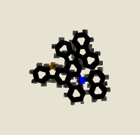 c1ccc(N(c2ccc3c(c2)C2(c4ccccc4-c4ccccc42)c2ccccc2-3)c2cccc3ccccc23)c(-c2ccc3sc4ccccc4c3c2)c1